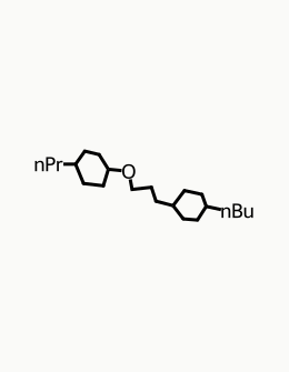 CCCCC1CCC(CCCOC2CCC(CCC)CC2)CC1